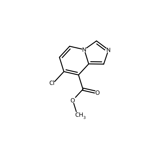 COC(=O)c1c(Cl)ccn2cncc12